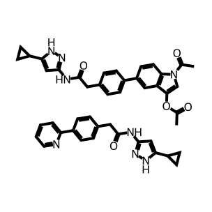 CC(=O)Oc1cn(C(C)=O)c2ccc(-c3ccc(CC(=O)Nc4cc(C5CC5)[nH]n4)cc3)cc12.O=C(Cc1ccc(-c2ccccn2)cc1)Nc1cc(C2CC2)[nH]n1